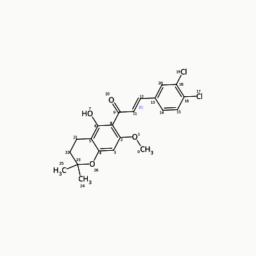 COc1cc2c(c(O)c1C(=O)/C=C/c1ccc(Cl)c(Cl)c1)CCC(C)(C)O2